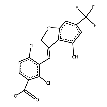 Cc1cc(C(F)(F)F)cc2c1C(=Cc1c(Cl)ccc(C(=O)O)c1Cl)CO2